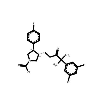 CC(C)(C(=O)CC[C@@H]1CN(C(=O)Cl)C[C@H]1c1ccc(F)cc1)c1cc(Cl)cc(Cl)c1